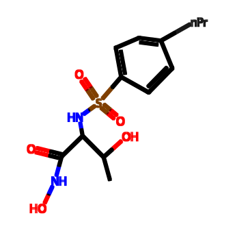 CCCc1ccc(S(=O)(=O)NC(C(=O)NO)C(C)O)cc1